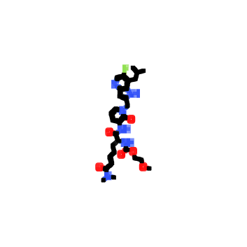 COCCOC(=O)N[C@@H](CC/C=C/C(=O)N(C)C)C(=O)Nc1cccn(Cc2cc3ncc(F)c(CC(C)C)c3[nH]2)c1=O